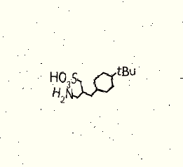 CC(C)(C)C1CCC(CC(CN)CS(=O)(=O)O)CC1